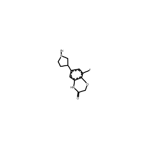 CC(=O)N1CCC(c2cc(F)c3c(c2)NC(=O)CO3)C1